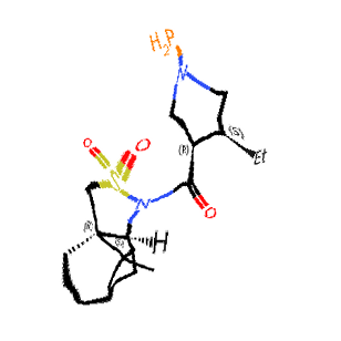 CC[C@@H]1CN(P)C[C@@H]1C(=O)N1[C@H]2CC3CC[C@@]2(CS1(=O)=O)C3(C)C